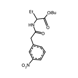 CCC(NC(=O)Cc1cccc([N+](=O)[O-])c1)C(=O)OCC(C)C